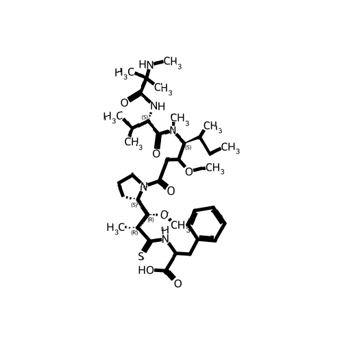 CCC(C)[C@@H](C(CC(=O)N1CCC[C@H]1[C@H](OC)[C@@H](C)C(=S)NC(Cc1ccccc1)C(=O)O)OC)N(C)C(=O)[C@@H](NC(=O)C(C)(C)NC)C(C)C